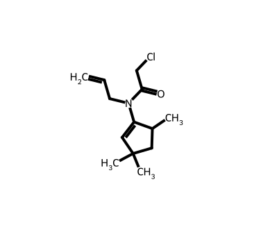 C=CCN(C(=O)CCl)C1=CC(C)(C)CC1C